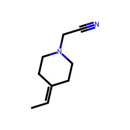 CC=C1CCN(CC#N)CC1